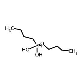 CCCCO[PH](O)(O)CCCC